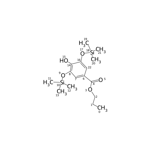 CCCOC(=O)c1cc(O[Si](C)(C)C)c(O)c(O[Si](C)(C)C)c1